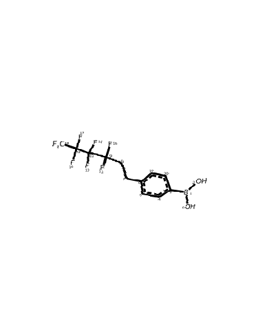 OB(O)c1ccc(CCC(F)(F)C(F)(F)C(F)(F)C(F)(F)F)cc1